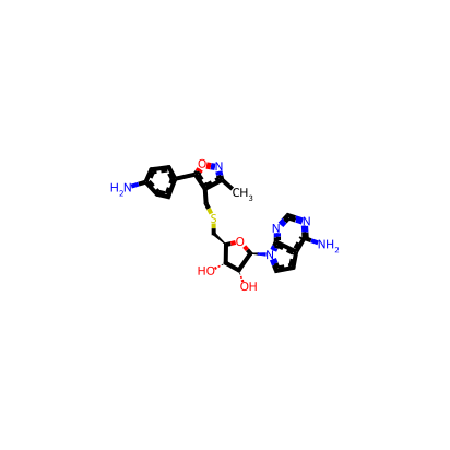 Cc1noc(-c2ccc(N)cc2)c1CSC[C@H]1O[C@@H](n2ccc3c(N)ncnc32)[C@H](O)[C@@H]1O